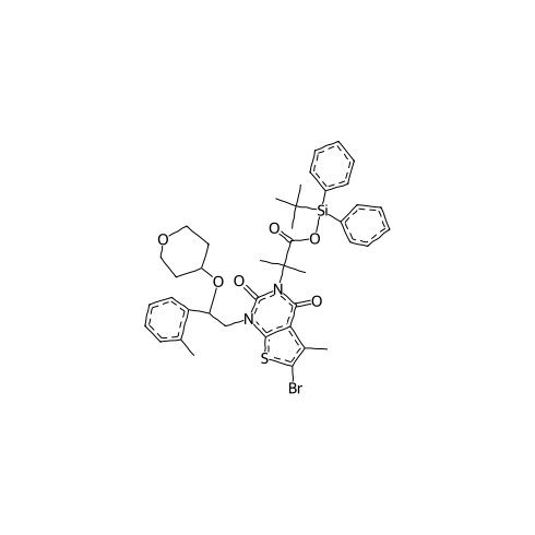 Cc1ccccc1C(Cn1c(=O)n(C(C)(C)C(=O)O[Si](c2ccccc2)(c2ccccc2)C(C)(C)C)c(=O)c2c(C)c(Br)sc21)OC1CCOCC1